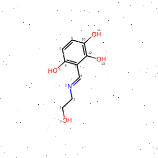 OCC/N=C/c1c(O)ccc(O)c1O